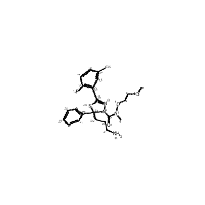 COCCON(C)C(=O)N1N=C(c2cc(F)ccc2F)SC1(CCCN)c1ccccc1